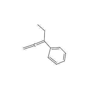 C=C=C(CC)c1ccccc1